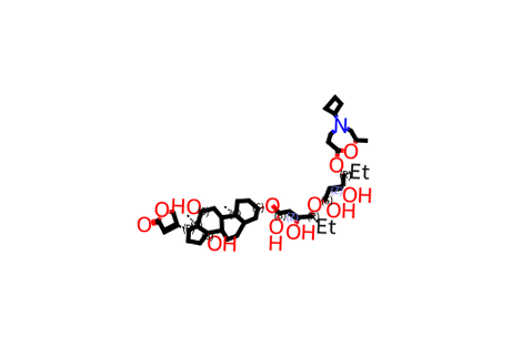 CC[C@@H](OC1CCN(C2CCC2)CC(C)O1)/C(O)=C/[C@@H](O)O[C@H](CC)/C(O)=C/[C@@H](O)O[C@H]1CC[C@@]2(C)C(CCC3C2C[C@H](O)[C@]2(C)[C@@H](C4=CC(=O)OC4)CC[C@]32O)C1